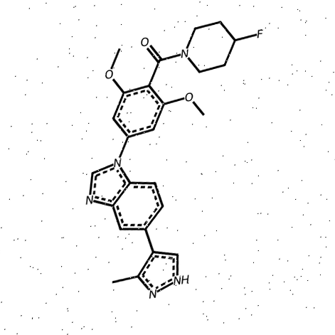 COc1cc(-n2cnc3cc(-c4c[nH]nc4C)ccc32)cc(OC)c1C(=O)N1CCC(F)CC1